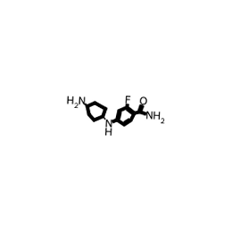 NC(=O)c1ccc(N[C@H]2CC[C@H](N)CC2)cc1F